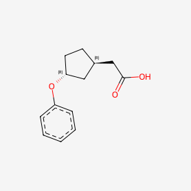 O=C(O)C[C@@H]1CC[C@@H](Oc2ccccc2)C1